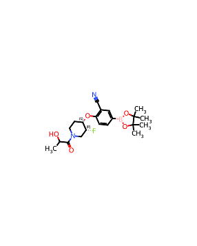 CC(O)C(=O)N1CC[C@H](Oc2ccc(B3OC(C)(C)C(C)(C)O3)cc2C#N)[C@H](F)C1